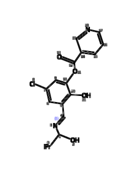 CC(C)C(O)/N=C/c1cc(Cl)cc(OC(=O)c2cccnc2)c1O